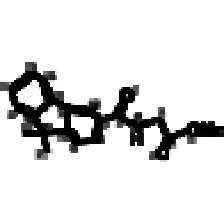 COC(=O)CNC(=O)c1ccc2c(c1)-c1ccccc1C2(C)C